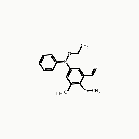 CCOP(c1ccccc1)c1cc(Cl)c(OC)c(C=O)c1.[LiH]